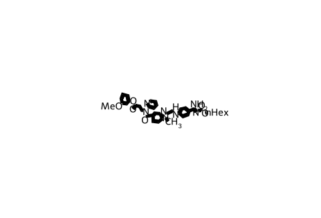 CCCCCCOC(=O)/N=C(\N)c1ccc(NCc2nc3cc(C(=O)N(CCC(=O)Oc4cccc(OC)c4)c4ccccn4)ccc3n2C)cc1